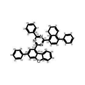 C1=Cc2c(-c3ccccc3)ccc(-c3nc(-c4ccccc4)nc(-c4cc(-c5ccccc5)cc5oc6ccccc6c45)n3)c2CC1